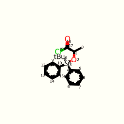 CC(O[Si](c1ccccc1)(c1ccccc1)C(C)(C)C)C(=O)Cl